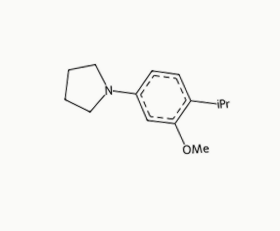 COc1cc(N2CCCC2)ccc1C(C)C